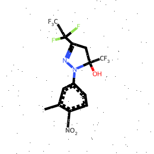 Cc1cc(N2N=C(C(F)(F)C(F)(F)F)CC2(O)C(F)(F)F)ccc1[N+](=O)[O-]